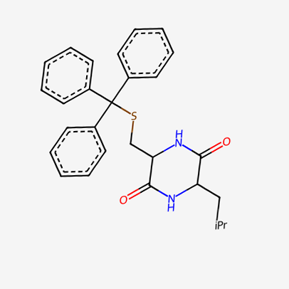 CC(C)CC1NC(=O)C(CSC(c2ccccc2)(c2ccccc2)c2ccccc2)NC1=O